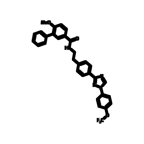 COc1ccc(C(=O)NCCc2ccc(-c3ncn(-c4ccc(OC(F)(F)F)cc4)n3)cc2)cc1-c1ccccc1